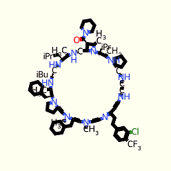 CC[C@H](C)[C@H]1CN[C@@H](CC(C)C)C(C)NCC2[C@@H](C(=O)N3CCCCC3)C(C)N2[C@@H](C(C)C)C(C)NC2(CCCC2)CNCCNC=CC(CCc2ccc(C(F)(F)F)c(Cl)c2)=NC=CN(C)C=C(CC2CCCCC2)N(C)C=C2CCCN2[C@@H](CC2CCCCC2)C(C)N1